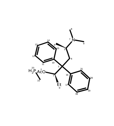 CC[C@@H](OC(C)=O)C(C[C@@H](C)N(C)C)(c1ccccc1)c1ccccc1.CP